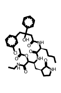 CCCC[C@H](NC(=O)CC(O)(Cc1cccc(Cl)c1)c1ccccc1)C(=O)N[C@@H](C[C@@H]1CCNC1=O)C(OC(C)=O)C(=O)NCC